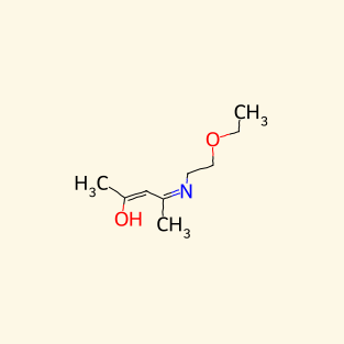 CCOCCN=C(C)C=C(C)O